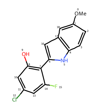 COc1ccc2[nH]c(-c3c(O)cc(Cl)cc3F)cc2c1